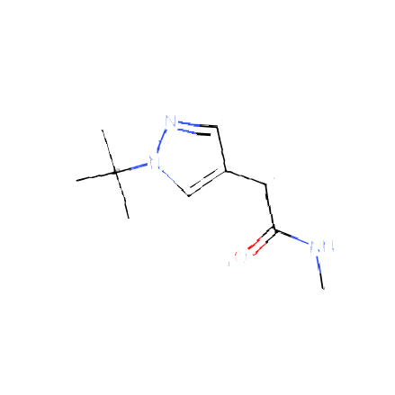 CNC(=O)Cc1cnn(C(C)(C)C)c1